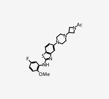 COc1ccc(F)cc1Nc1nc2cc(N3CCN(C4CN(C(C)=O)C4)CC3)ccc2s1